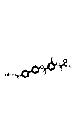 CCCCCCOc1ccc(-c2ccc(OC(=O)c3ccc(OC(=O)C(Cl)C(C)C)c(F)c3)cc2)cc1